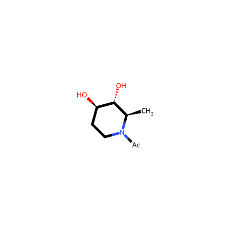 CC(=O)N1CC[C@@H](O)[C@H](O)[C@H]1C